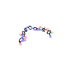 CC1(C)C(NC(=O)c2ccc(N3CCC(CN4CC5CCC4CN5c4ccc5c(c4)C(=O)N(N4CCC(=O)NC4=O)C5=O)CC3)nc2)C(C)(C)C1Oc1ccc(C#N)c(Cl)c1